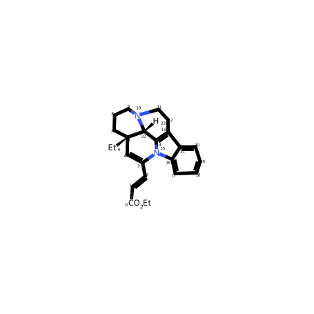 CCOC(=O)/C=C/C1=C[C@]2(CC)CCCN3CCc4c(n1c1ccccc41)[C@@H]32